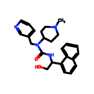 CN1CCC(N(Cc2cccnc2)C(=O)NC(CO)c2cccc3ccccc23)CC1